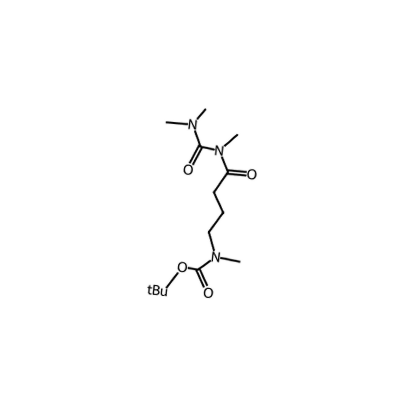 CN(C)C(=O)N(C)C(=O)CCCN(C)C(=O)OC(C)(C)C